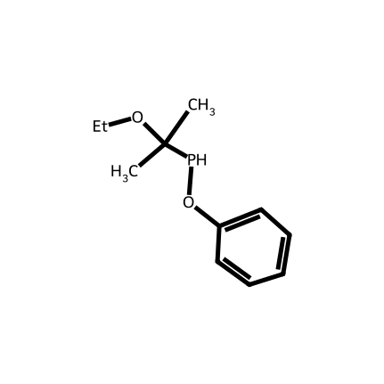 CCOC(C)(C)POc1ccccc1